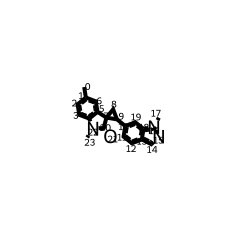 Cc1ccc2c(c1)C1(CC1c1ccc3cnn(C)c3c1)C(=O)N2C